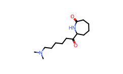 CN(C)CCCCCC(=O)C1CCCCC(=O)N1